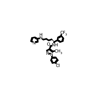 Cc1c(C(=O)N[C@@H](CCCCNc2cccnc2)c2cccc(C(F)(F)F)c2)cnn1-c1ccc(Cl)cc1